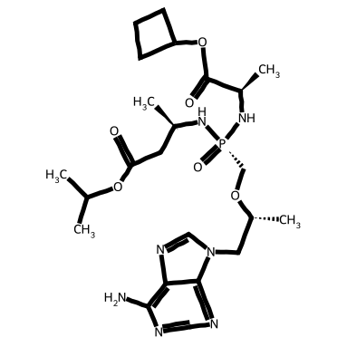 CC(C)OC(=O)C[C@@H](C)N[P@@](=O)(CO[C@H](C)Cn1cnc2c(N)ncnc21)N[C@H](C)C(=O)OC1CCC1